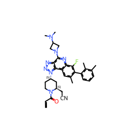 C=CC(=O)N1CC[C@H](n2nnc3c(N4CC(N(C)C)C4)nc4c(F)c(-c5cccc(C)c5C)c(C)cc4c32)C[C@H]1CC#N